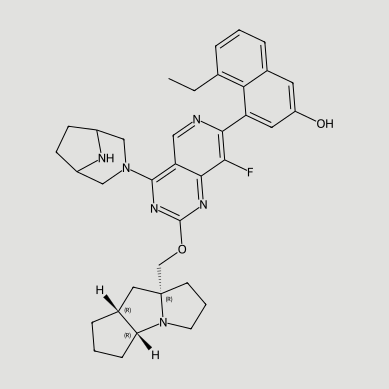 CCc1cccc2cc(O)cc(-c3ncc4c(N5CC6CCC(C5)N6)nc(OC[C@]56CCCN5[C@@H]5CCC[C@@H]5C6)nc4c3F)c12